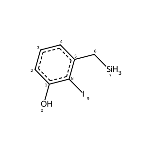 Oc1cccc(C[SiH3])c1I